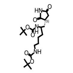 CC(C)(C)OC(=O)NCCCCC(C[C@H]1CC(=O)NC1=O)NC(=O)OC(C)(C)C